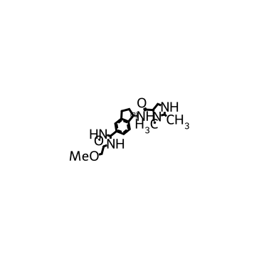 COCC1NC(c2ccc3c(c2)CC[C@H]3NC(=O)C2CNC(C)N2C)NO1